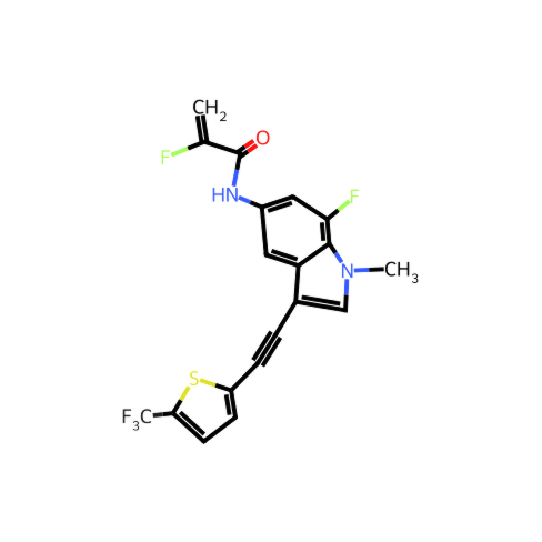 C=C(F)C(=O)Nc1cc(F)c2c(c1)c(C#Cc1ccc(C(F)(F)F)s1)cn2C